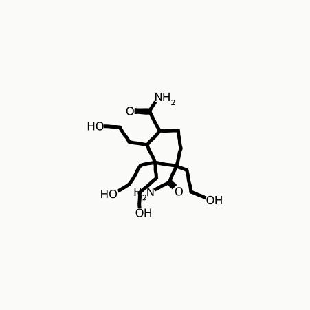 NC(=O)C1CCC(CCO)(C(N)=O)C(CCO)(CCO)C1CCO